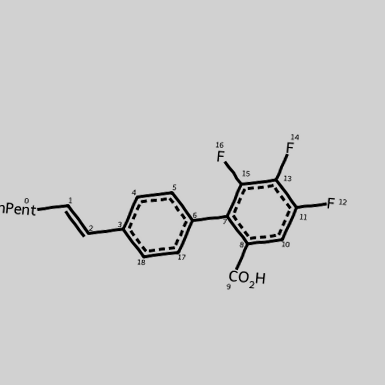 CCCCCC=Cc1ccc(-c2c(C(=O)O)cc(F)c(F)c2F)cc1